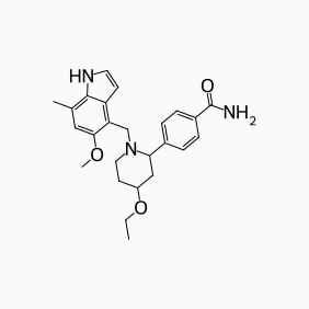 CCOC1CCN(Cc2c(OC)cc(C)c3[nH]ccc23)C(c2ccc(C(N)=O)cc2)C1